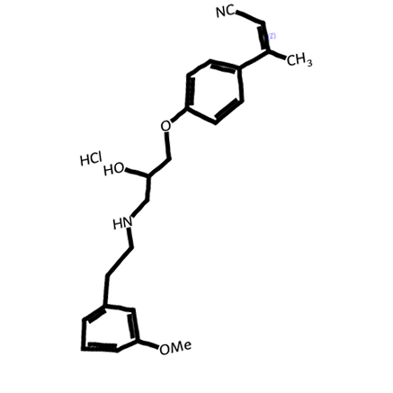 COc1cccc(CCNCC(O)COc2ccc(/C(C)=C\C#N)cc2)c1.Cl